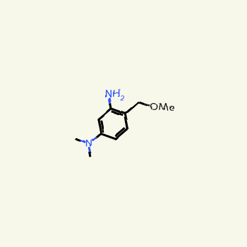 COCc1ccc(N(C)C)cc1N